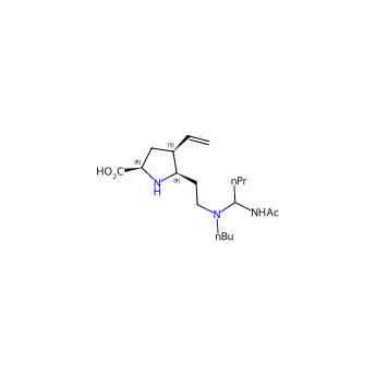 C=C[C@@H]1C[C@H](C(=O)O)N[C@@H]1CCN(CCCC)C(CCC)NC(C)=O